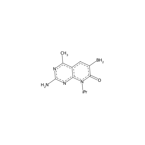 Bc1cc2c(C)nc(N)nc2n(C(C)C)c1=O